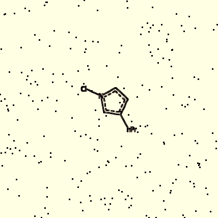 CCCc1ccn(Cl)c1